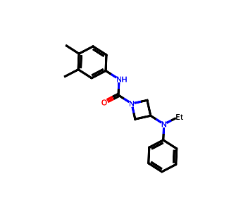 CCN(c1ccccc1)C1CN(C(=O)Nc2ccc(C)c(C)c2)C1